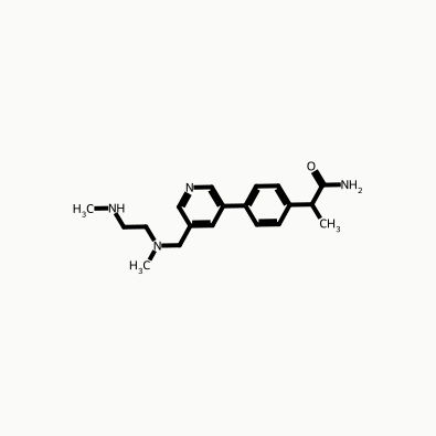 CNCCN(C)Cc1cncc(-c2ccc(C(C)C(N)=O)cc2)c1